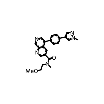 COCCN(C)C(=O)c1cnc2cncc(-c3ccc(-c4cnn(C)c4)cc3)c2c1